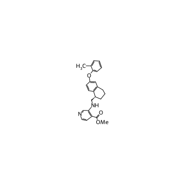 COC(=O)c1ccncc1NC[C@@H]1CCCc2cc(Oc3ccccc3C)ccc21